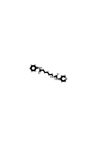 O=C(CCCCCNC(=S)Nc1ccncc1)Nc1ccccc1